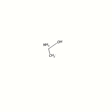 N.[CH2]CO